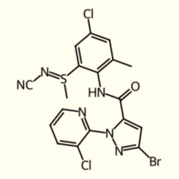 Cc1cc(Cl)cc(/S(C)=N/C#N)c1NC(=O)c1cc(Br)nn1-c1ncccc1Cl